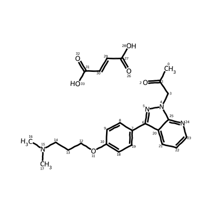 CC(=O)Cn1nc(-c2ccc(OCCCN(C)C)cc2)c2cccnc21.O=C(O)C=CC(=O)O